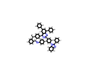 CC(c1ccc(-c2nc(-c3ccc(-n4c(-c5ccccc5)nc5ccccc54)cc3)nc3c(-c4ccccc4)cc(-c4ccccc4)cc23)cc1)c1ccccc1/C=N/c1ccccc1